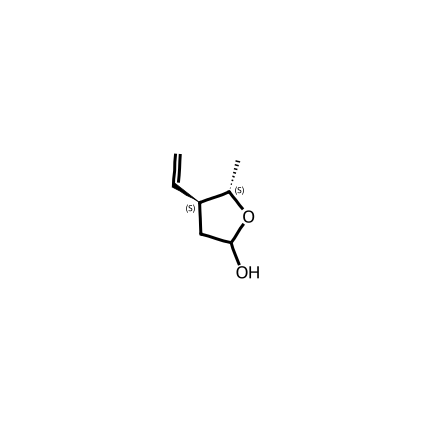 C=C[C@@H]1CC(O)O[C@H]1C